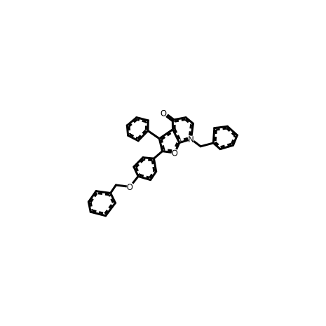 O=c1ccn(Cc2ccccc2)c2oc(-c3ccc(OCc4ccccc4)cc3)c(-c3ccccc3)c12